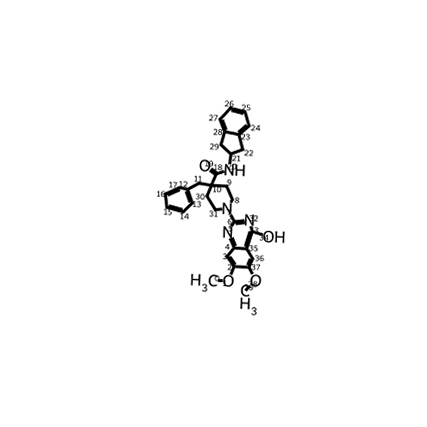 COc1cc2nc(N3CCC(Cc4ccccc4)(C(=O)NC4Cc5ccccc5C4)CC3)nc(O)c2cc1OC